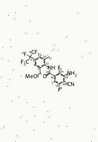 COCc1cc(C(F)(C(F)(F)F)C(F)(F)F)cc(C)c1NC(=O)c1cc(F)c(C#N)c(N)c1F